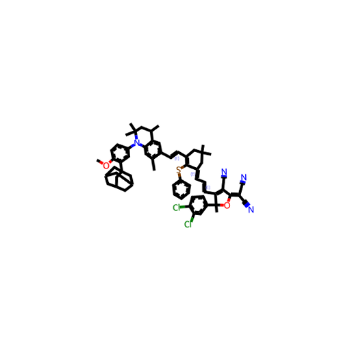 COc1ccc(N2c3cc(C)c(/C=C/C4=C(Sc5ccccc5)C(=C/C=C/C5=C(C#N)C(=C(C#N)C#N)OC5(C)c5ccc(Cl)c(Cl)c5)/CC(C)(C)C4)cc3C(C)CC2(C)C)cc1C12CC3CC(CC(C3)C1)C2